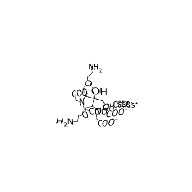 NCCOCC(N(CC(=O)[O-])CC(=O)[O-])C(O)(CO)C(COCCN)N(CC(=O)[O-])CC(=O)[O-].[Cs+].[Cs+].[Cs+].[Cs+]